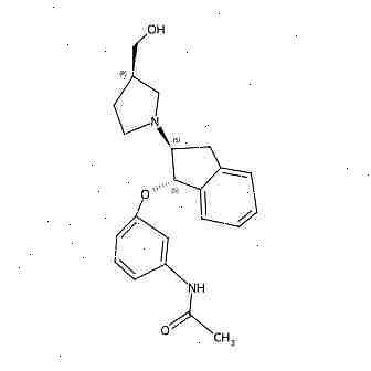 CC(=O)Nc1cccc(O[C@H]2c3ccccc3C[C@@H]2N2CC[C@@H](CO)C2)c1